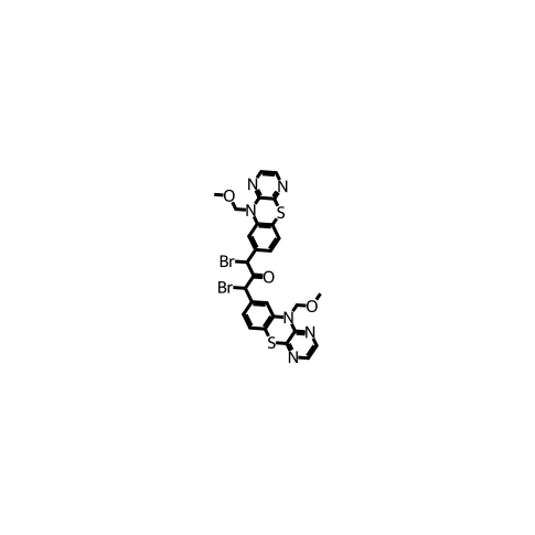 COCN1c2cc(C(Br)C(=O)C(Br)c3ccc4c(c3)N(COC)c3nccnc3S4)ccc2Sc2nccnc21